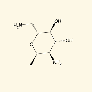 C[C@H]1O[C@H](CN)[C@@H](O)[C@H](O)[C@H]1N